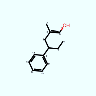 CCC(CC(C)=CO)c1ccccc1